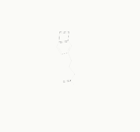 C=C(C)CCCc1ccc2c(c1)C=C2